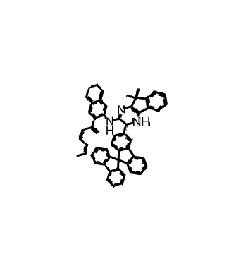 C=C(/C=C\C=C/C)c1cc2c(cc1NC1=NC3=C(NC1c1ccc4c(c1)-c1ccccc1C41c4ccccc4-c4ccccc41)c1ccccc1C3(C)C)=CCCC=2